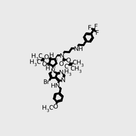 COc1ccc(CNc2ncnc3c2c(Br)cn3[C@@H]2C[C@H](CN(CCCNCCc3ccc(C(F)(F)F)cc3)C(=O)OC(C)(C)C)[C@H]3OC(C)(C)O[C@H]32)cc1